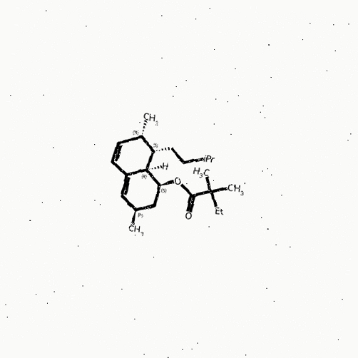 CCC(C)(C)C(=O)O[C@H]1C[C@@H](C)C=C2C=C[C@H](C)[C@H](CCC(C)C)[C@H]21